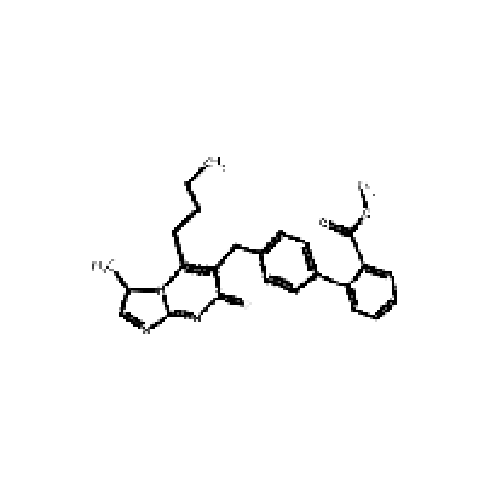 CCCCc1c(Cc2ccc(-c3ccccc3C(=O)OC)cc2)c(=O)nc2n1C(C)C=N2